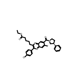 CCOC(=O)CCCCc1nc2cc(C(=O)N3CC[C@@H](c4ccccc4)C3)c(F)cc2nc1-c1ccc(Cl)cc1